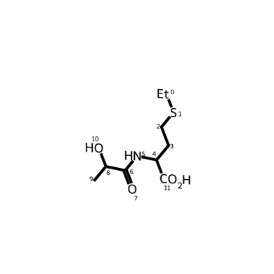 CCSCCC(NC(=O)C(C)O)C(=O)O